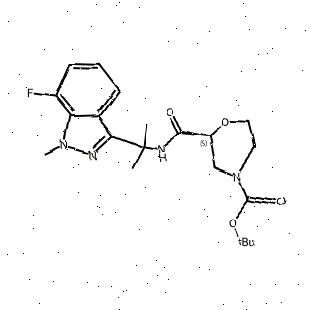 Cn1nc(C(C)(C)NC(=O)[C@@H]2CN(C(=O)OC(C)(C)C)CCO2)c2cccc(F)c21